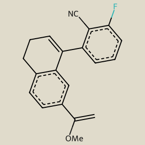 C=C(OC)c1ccc2c(c1)C(c1cccc(F)c1C#N)=CCC2